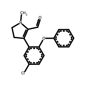 CN1CCC(c2cc(Cl)ccc2Oc2ccccc2)=C1C=O